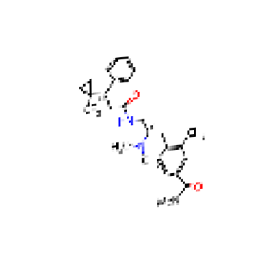 CNC(=O)c1ccc(C[C@@H](CNC(=O)C[C@H](c2ccccc2)C2(C(F)(F)F)CC2)N(C)C)c(C)c1